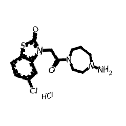 Cl.NN1CCCN(C(=O)Cn2c(=O)sc3ccc(Cl)cc32)CC1